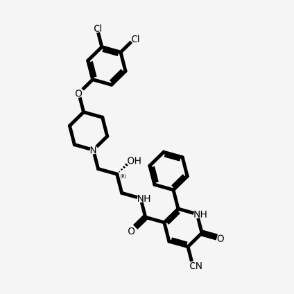 N#Cc1cc(C(=O)NC[C@@H](O)CN2CCC(Oc3ccc(Cl)c(Cl)c3)CC2)c(-c2ccccc2)[nH]c1=O